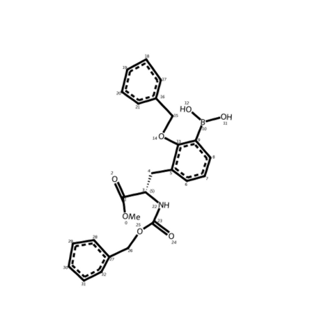 COC(=O)[C@H](Cc1cccc(B(O)O)c1OCc1ccccc1)NC(=O)OCc1ccccc1